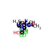 C=CC(=O)N1CCN(c2c(C#N)c(=O)n(-c3c(C)ccnc3C(C)C)c3nc(-c4c(F)c(O)c(Cl)c(Cl)c4Cl)c(Cl)cc23)C[C@H]1C